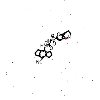 N#Cc1c2c(c(NC(=O)NS(=O)(=O)c3cc4c(o3)C3CCN(CC3)C4)c3c1CCC3)CCC2